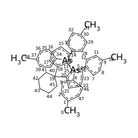 Cc1ccc([As](c2ccc(C)cc2)c2ccccc2C2(c3ccccc3[As](c3ccc(C)cc3)c3ccc(C)cc3)CCCCC2)cc1